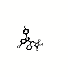 O=C1CN(CC(c2cn(-c3ccc(F)cc3)c3ccc(Cl)cc23)N2CCCCC2)C(=O)N1